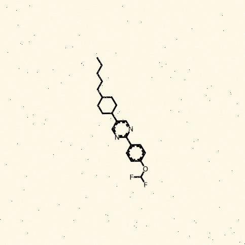 CCCCCC1CCC(c2cnc(-c3ccc(OC(F)F)cc3)nc2)CC1